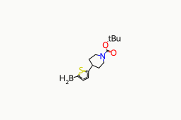 Bc1ccc(C2CCN(C(=O)OC(C)(C)C)CC2)s1